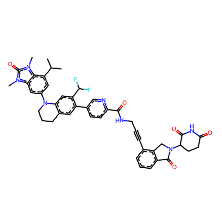 CC(C)c1cc(N2CCCc3cc(-c4ccc(C(=O)NCC#Cc5cccc6c5CN(C5CCC(=O)NC5=O)C6=O)nc4)c(C(F)F)cc32)cc2c1n(C)c(=O)n2C